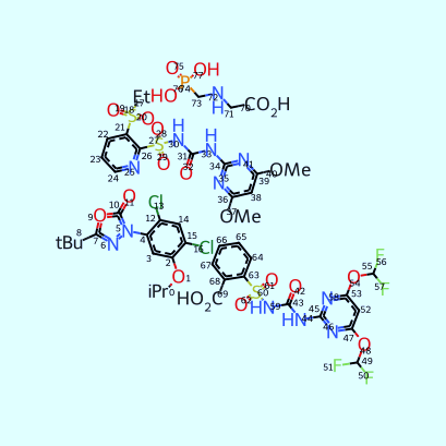 CC(C)Oc1cc(-n2nc(C(C)(C)C)oc2=O)c(Cl)cc1Cl.CCS(=O)(=O)c1cccnc1S(=O)(=O)NC(=O)Nc1nc(OC)cc(OC)n1.O=C(Nc1nc(OC(F)F)cc(OC(F)F)n1)NS(=O)(=O)c1ccccc1C(=O)O.O=C(O)CNCP(=O)(O)O